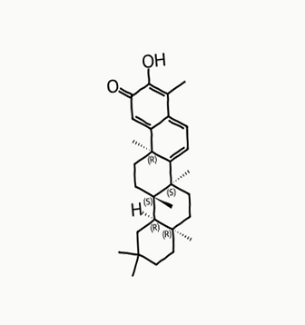 CC1=C(O)C(=O)C=C2C1=CC=C1[C@@]2(C)CC[C@@]2(C)[C@@H]3CC(C)(C)CC[C@]3(C)CC[C@]12C